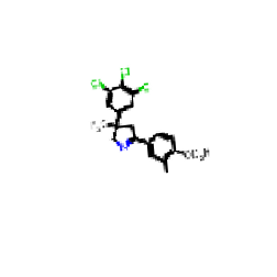 Cc1cc(C2=NCC(c3cc(Cl)c(Cl)c(Cl)c3)(C(F)(F)F)C2)ccc1C(=O)O